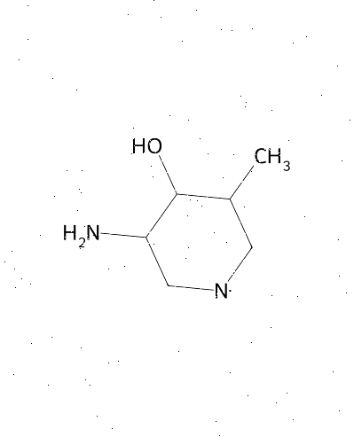 CC1C[N]CC(N)C1O